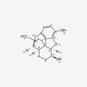 CN1CCC23c4c5ccc(O)c4O[C@H]2[C@@H](O)CC[C@H]3[C@H]1C5